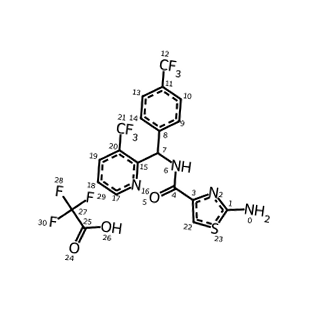 Nc1nc(C(=O)NC(c2ccc(C(F)(F)F)cc2)c2ncccc2C(F)(F)F)cs1.O=C(O)C(F)(F)F